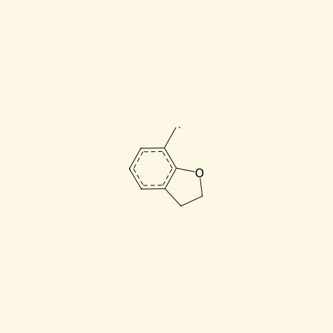 [CH2]c1cccc2c1OCC2